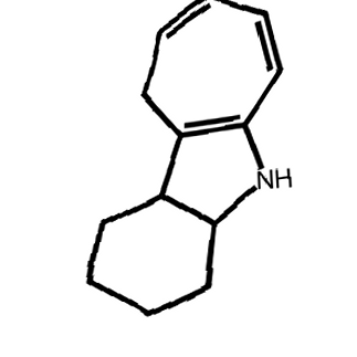 C1=CCC2=C(C=C1)NC1CCCCC21